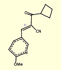 COc1ccc(/C=C(\C#N)C(=O)C2CCC2)cn1